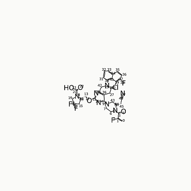 C=C(F)C(=O)N1CCN(c2nc(OC[C@@H]3CC(F)(F)CN3C(=O)O)nc3c2CCN(c2cccc4ccc(F)c(Cl)c24)C3)C[C@@H]1CC#N